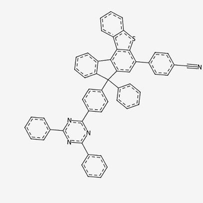 N#Cc1ccc(-c2cc3c(c4c2sc2ccccc24)-c2ccccc2C3(c2ccccc2)c2ccc(-c3nc(-c4ccccc4)nc(-c4ccccc4)n3)cc2)cc1